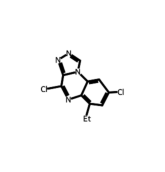 CCc1cc(Cl)cc2c1nc(Cl)c1nncn12